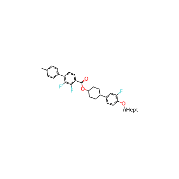 CCCCCCCOc1ccc(C2CCC(OC(=O)c3ccc(-c4ccc(C)cc4)c(F)c3F)CC2)cc1F